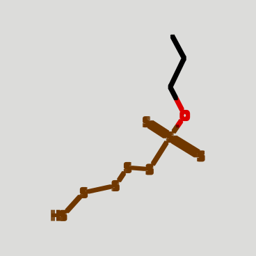 CCCOS(=S)(=S)SSSSS